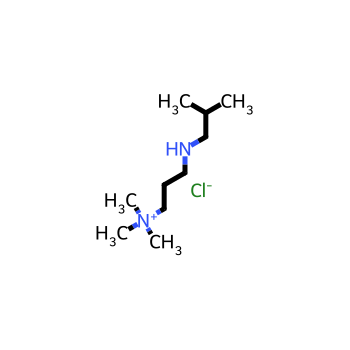 CC(C)CNCCC[N+](C)(C)C.[Cl-]